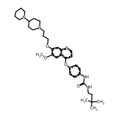 COc1cc2c(Oc3ccc(NC(=O)NCCC(C)(C)C)cc3)ccnc2cc1OCCCN1CCC(N2CCCCC2)CC1